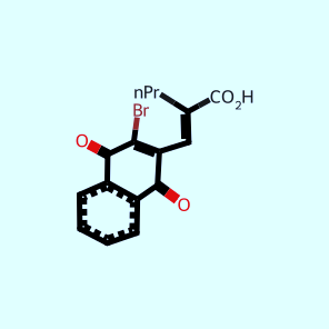 CCC/C(=C\C1=C(Br)C(=O)c2ccccc2C1=O)C(=O)O